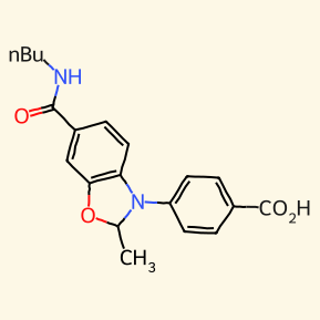 CCCCNC(=O)c1ccc2c(c1)OC(C)N2c1ccc(C(=O)O)cc1